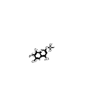 CS(=O)(=O)Oc1cc(Cl)c2cc(Cl)c(Br)c(F)c2n1